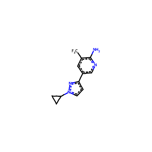 Nc1ncc(-c2ccn(C3CC3)n2)cc1C(F)(F)F